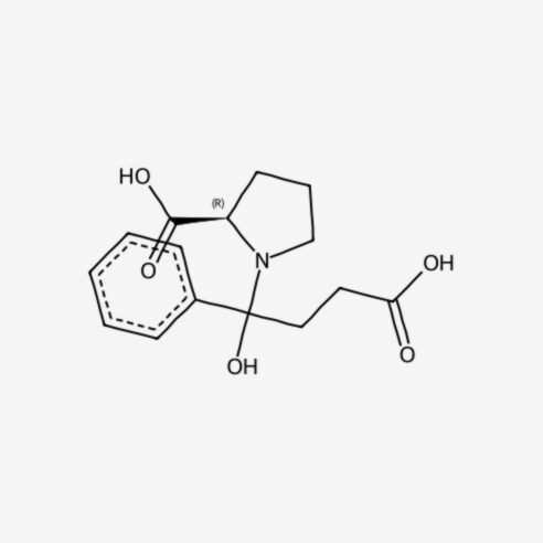 O=C(O)CCC(O)(c1ccccc1)N1CCC[C@@H]1C(=O)O